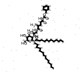 CCCCCCCCCCCCCCN(C(=O)CCCCCCCCCCC)[C@@H]1O[C@H](CO)[C@@H](O)[C@H](O)[C@H]1NC(=O)CNC(=O)[C@@H](N)CCC(=O)NC(=O)OCc1ccccc1